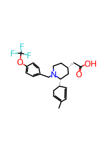 CC1=CCC([C@H]2C[C@@H](CC(=O)O)CCN2Cc2ccc(OC(F)(F)F)cc2)C=C1